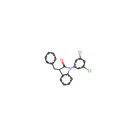 O=C1C(Cc2ccccc2)c2ccccc2N1c1cc(Cl)cc(Cl)c1